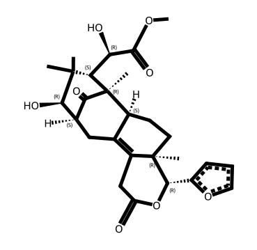 COC(=O)[C@H](O)[C@H]1C(C)(C)[C@H](O)[C@@H]2CC3=C4CC(=O)O[C@@H](c5ccco5)[C@]4(C)CC[C@@H]3[C@@]1(C)C2=O